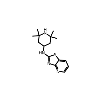 CC1(C)CC(Nc2nc3ncccc3s2)CC(C)(C)N1